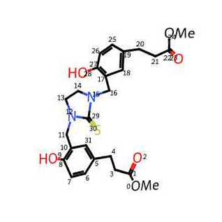 COC(=O)CCc1ccc(O)c(CN2CCN(Cc3cc(CCC(=O)OC)ccc3O)C2=S)c1